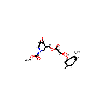 CC(C)[C@@H]1CC[C@@H](C)C[C@H]1OCC(=O)OCC1CN(C(=O)OC(C)(C)C)CC2OC12